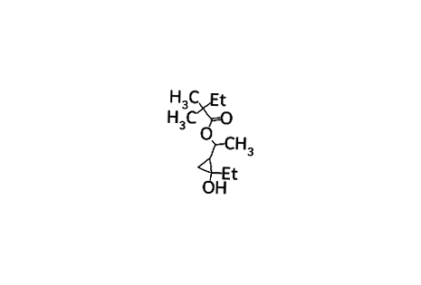 CCC(C)(C)C(=O)OC(C)C1CC1(O)CC